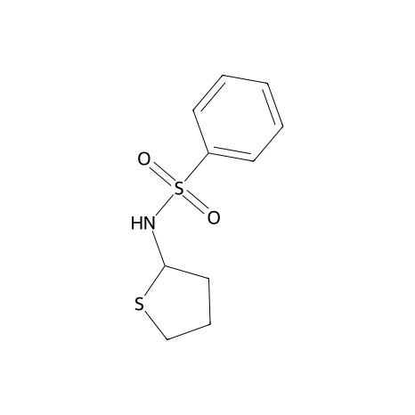 O=S(=O)(NC1CCCS1)c1ccccc1